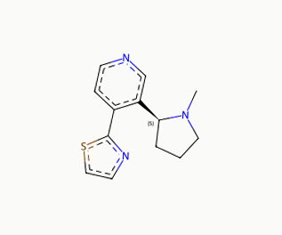 CN1CCC[C@H]1c1cnccc1-c1nccs1